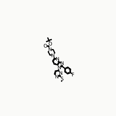 CSc1nccc(-n2c(-c3ccc(F)cc3)nc3nc(N4CCN(C(=O)OC(C)(C)C)CC4)ccc32)n1